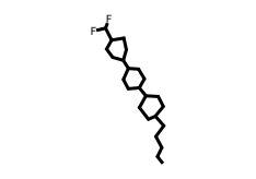 CCCCCC1CCC(C2CCC(C3CCC(C(F)F)CC3)CC2)CC1